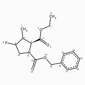 CCOC(=O)[C@@H]1C(C)C(F)CN1C(=O)OCc1ccccc1